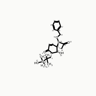 CC(C)(C[C@@H]1C(=O)C=C[C@]2(CC(=O)N2OCc2ccccc2)[C@@H]1O)[Si](C)(C)O